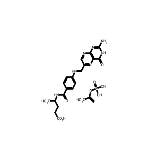 C=C(OP(=O)(O)O)C(=O)O.Nc1nc2ncc(CNc3ccc(C(=O)NC(CCC(=O)O)C(=O)O)cc3)nc2c(=O)[nH]1